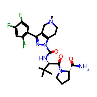 CN1CCc2c(c(-c3cc(F)c(F)cc3F)nn2C(=O)N[C@H](C(=O)N2CCC[C@H]2C(N)=O)C(C)(C)C)C1